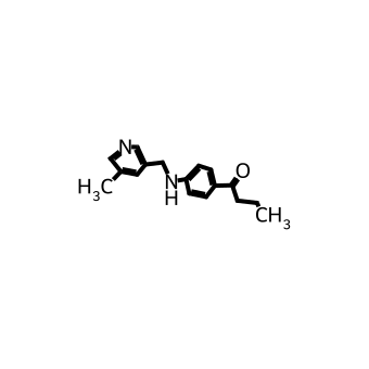 CCCC(=O)c1ccc(NCc2cncc(C)c2)cc1